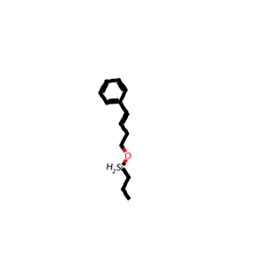 CCC[SiH2]OCCC=Cc1ccccc1